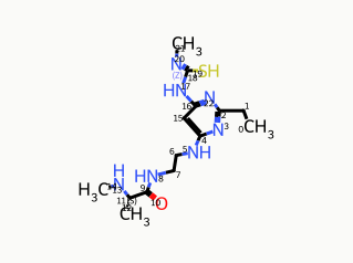 CCc1nc(NCCNC(=O)[C@H](C)NC)cc(N/C(S)=N/C)n1